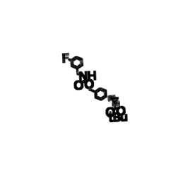 CC(C)(C)OC(=O)[C@@H]1C[C@H]1c1ccc(COC(=O)NCc2cccc(F)c2)cc1